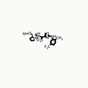 COC[C@@H]1CCCN1S(=O)(=O)NC(=O)c1coc(Nc2cc(C(F)(F)F)ccc2C)n1